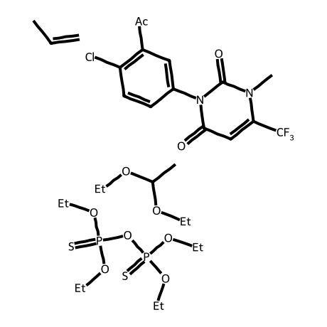 C=CC.CC(=O)c1cc(-n2c(=O)cc(C(F)(F)F)n(C)c2=O)ccc1Cl.CCOC(C)OCC.CCOP(=S)(OCC)OP(=S)(OCC)OCC